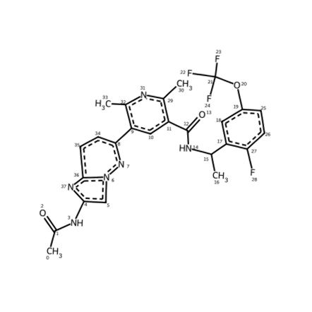 CC(=O)Nc1cn2nc(-c3cc(C(=O)NC(C)c4cc(OC(F)(F)F)ccc4F)c(C)nc3C)ccc2n1